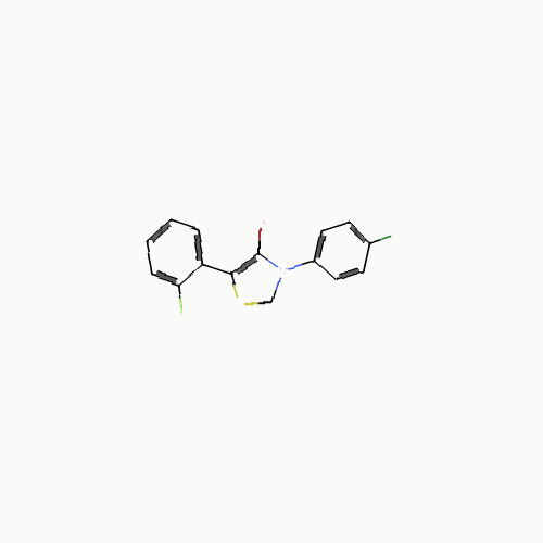 Fc1ccccc1C1=C(Br)N(c2ccc(Cl)cc2)[CH]S1